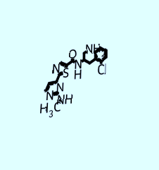 CNc1nccc(-c2ncc(C(=O)NC(CN)Cc3ccccc3Cl)s2)n1